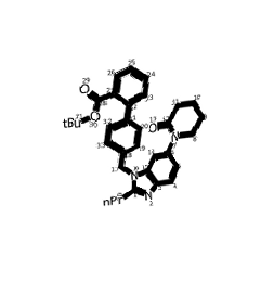 CCCc1nc2ccc(N3CCCCC3=O)cc2n1Cc1ccc(-c2ccccc2C(=O)OC(C)(C)C)cc1